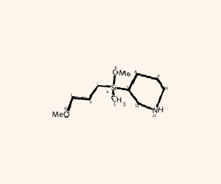 COCCC[Si](C)(OC)C1CCCNC1